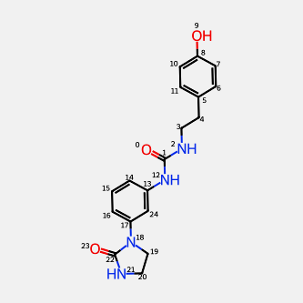 O=C(NCCc1ccc(O)cc1)Nc1cccc(N2CCNC2=O)c1